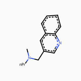 CCCN(C)Cc1cnc2ccccc2c1